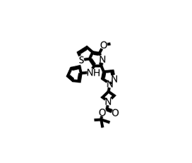 COc1nc(-c2cnn(C3CN(C(=O)OC(C)(C)C)C3)c2)c(Nc2ccccc2)c2sccc12